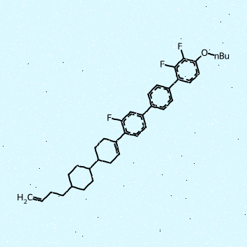 C=CCCC1CCC(C2CC=C(c3ccc(-c4ccc(-c5ccc(OCCCC)c(F)c5F)cc4)cc3F)CC2)CC1